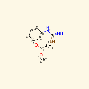 CC(=O)[O-].N=C(S)Nc1ccccc1.[Na+]